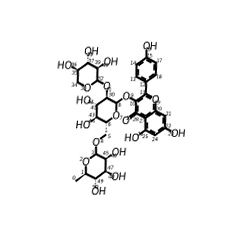 C[C@H]1OC(OC[C@H]2OC(Oc3c(-c4ccc(O)cc4)oc4cc(O)cc(O)c4c3=O)[C@H](OC3OC[C@@H](O)[C@H](O)[C@H]3O)[C@@H](O)[C@@H]2O)[C@@H](O)[C@@H](O)[C@@H]1O